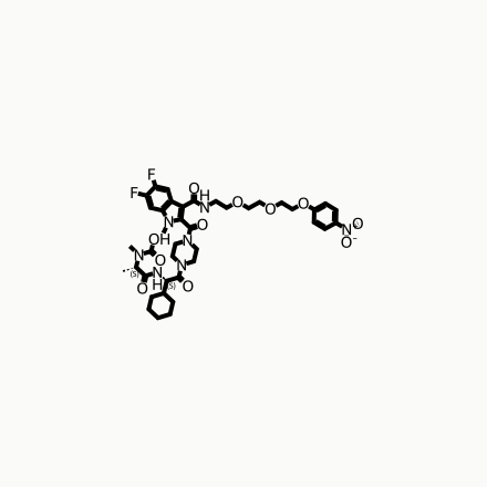 C[C@@H](C(=O)N[C@H](C(=O)N1CCN(C(=O)c2c(C(=O)NCCOCCOCCOc3ccc([N+](=O)[O-])cc3)c3cc(F)c(F)cc3n2C)CC1)C1CCCCC1)N(C)C(=O)O